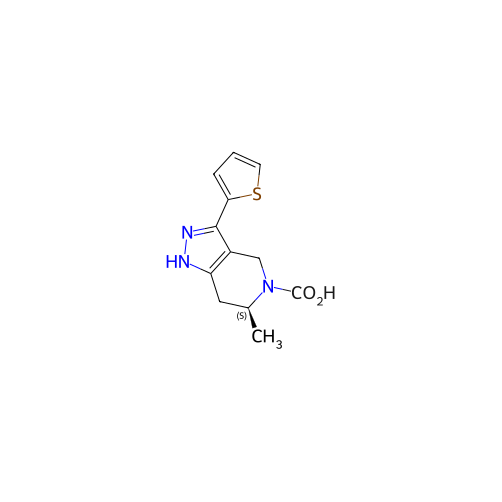 C[C@H]1Cc2[nH]nc(-c3cccs3)c2CN1C(=O)O